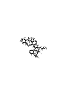 NC(=O)c1cnccc1N(N)C1=C(OCCS)CNC(C(N)C2=C(NCc3ccccc3F)CCC2)=N1